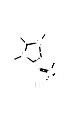 CN1CCN(C)C1F.CS(=O)(=O)O